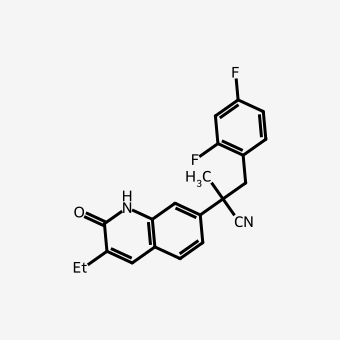 CCc1cc2ccc(C(C)(C#N)Cc3ccc(F)cc3F)cc2[nH]c1=O